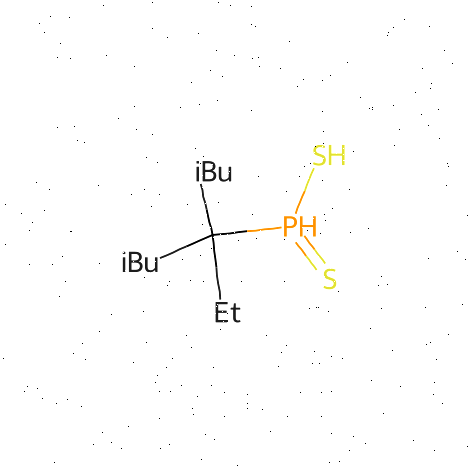 CCC(C)C(CC)(C(C)CC)[PH](=S)S